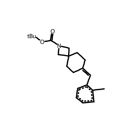 Cc1ccccc1C=C1CCC2(CC1)CN(C(=O)OC(C)(C)C)C2